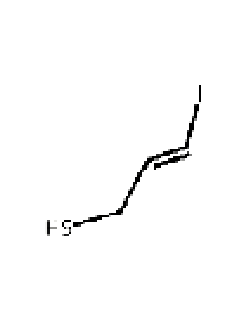 SCC=CI